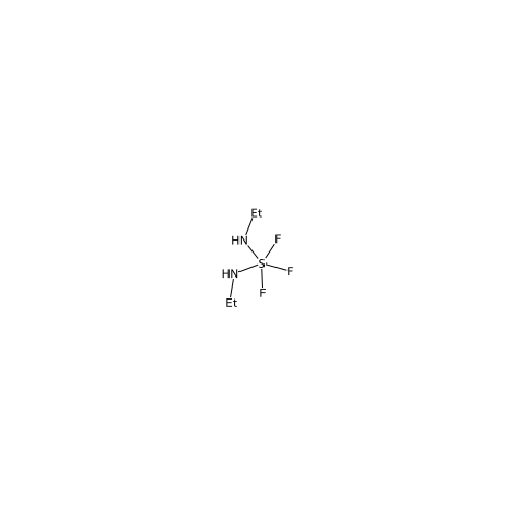 CCN[S](F)(F)(F)NCC